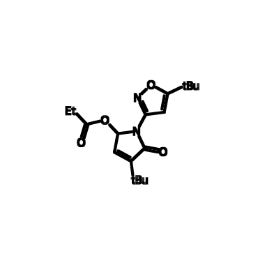 CCC(=O)OC1C=C(C(C)(C)C)C(=O)N1c1cc(C(C)(C)C)on1